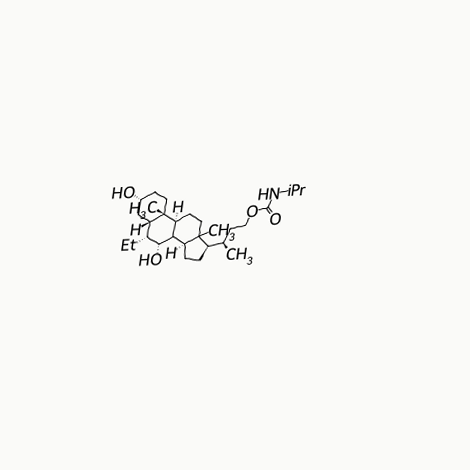 CC[C@H]1[C@@H](O)C2[C@@H]3CC[C@H]([C@H](C)CCOC(=O)NC(C)C)C3(C)CC[C@@H]2[C@@]2(C)CC[C@@H](O)C[C@@H]12